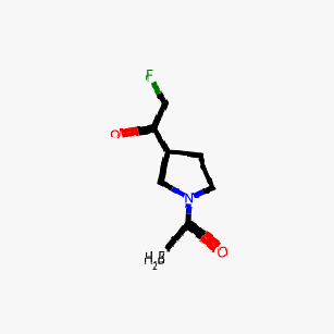 BC(=O)N1CCC(C(=O)CF)C1